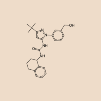 CC(C)(C)c1cc(NC(=O)NC2CCCc3ccccc32)n(-c2cccc(CO)c2)n1